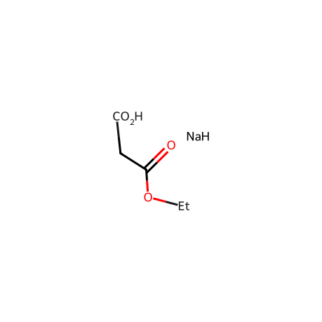 CCOC(=O)CC(=O)O.[NaH]